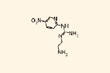 NCCN=C(N)Nc1ccc([N+](=O)[O-])cn1